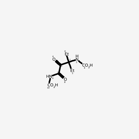 CCC(CC)(NC(=O)O)C(=O)C(=O)NC(=O)O